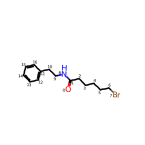 O=C(CCCCCBr)NCCc1ccccc1